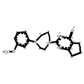 COc1cccc(N2CCN(c3nc4c(c(=O)[nH]3)CCC4)CC2)c1